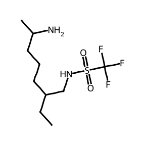 CCC(CCCC(C)N)CNS(=O)(=O)C(F)(F)F